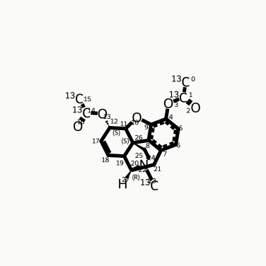 [13CH3][13C](=O)Oc1ccc2c3c1OC1[C@@H](O[13C]([13CH3])=O)C=CC4[C@@H](C2)N([13CH3])CC[C@]314